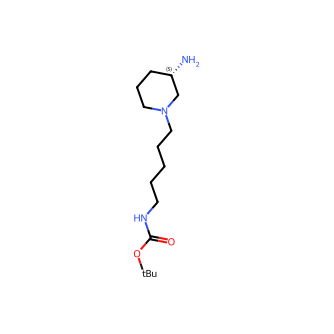 CC(C)(C)OC(=O)NCCCCCN1CCC[C@H](N)C1